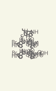 CC(C)C[C@H]1C(=O)N2CCC[C@H]2[C@]2(O)O[C@](NC(=O)[C@@H]3C=C4c5cccc6[nH]c(Br)c(c56)C[C@H]4N(C)C3)(C(C)C)C(=O)N12.CC(C)C[C@H]1C(=O)N2CCC[C@H]2[C@]2(O)O[C@](NC(=O)[C@@H]3C=C4c5cccc6[nH]c(Br)c(c56)C[C@H]4N(C)C3)(C(C)C)C(=O)N12.CCCN1C[C@H](CSC)C[C@@H]2c3cccc4[nH]cc(c34)C[C@H]21.CS(=O)(=O)O